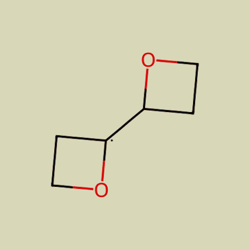 C1C[C](C2CCO2)O1